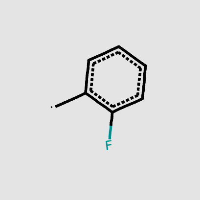 [CH2]c1ccccc1F